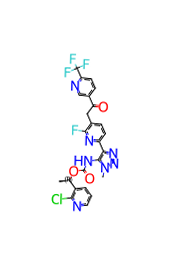 C[C@@H](OC(=O)Nc1c(-c2ccc(CC(=O)c3ccc(C(F)(F)F)nc3)c(F)n2)nnn1C)c1cccnc1Cl